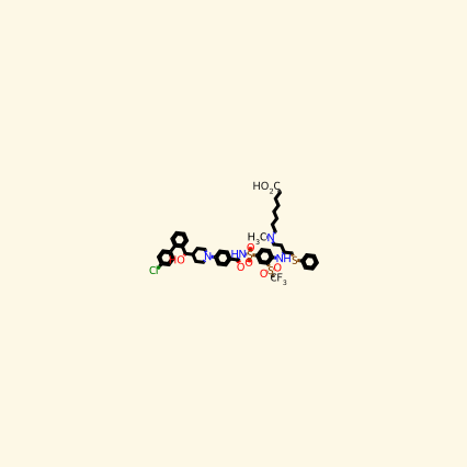 CN(CCCCCCCC(=O)O)CCC(CSc1ccccc1)Nc1ccc(S(=O)(=O)NC(=O)c2ccc(N3CCC(C(O)c4ccccc4-c4ccc(Cl)cc4)CC3)cc2)cc1S(=O)(=O)C(F)(F)F